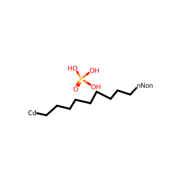 CCCCCCCCCCCCCCCCC[CH2][Cd].O=P(O)(O)O